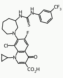 O=C(O)c1cn(C2CC2)c2c(Cl)c(N3CCCCC(NC(=S)Nc4cccc(C(F)(F)F)c4)C3)c(F)cc2c1=O